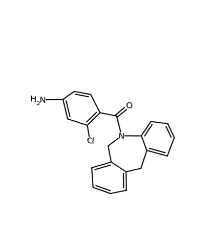 Nc1ccc(C(=O)N2Cc3ccccc3Cc3ccccc32)c(Cl)c1